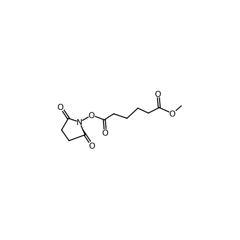 COC(=O)CCCCC(=O)ON1C(=O)CCC1=O